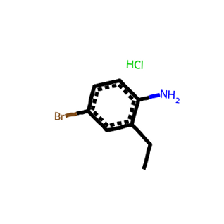 CCc1cc(Br)ccc1N.Cl